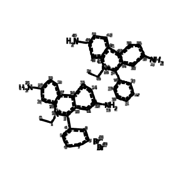 CC[n+]1c(-c2ccccc2)c2cc(N)ccc2c2ccc(N)cc21.CC[n+]1c(-c2ccccc2)c2cc(N)ccc2c2ccc(N)cc21.[Br-].[Br-]